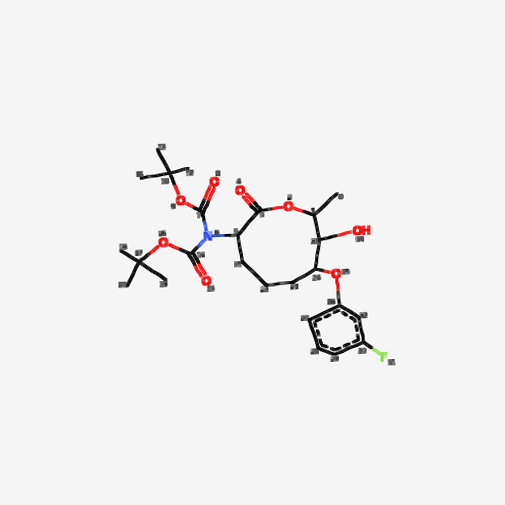 CC1OC(=O)C(N(C(=O)OC(C)(C)C)C(=O)OC(C)(C)C)CCCC(Oc2cccc(F)c2)C1O